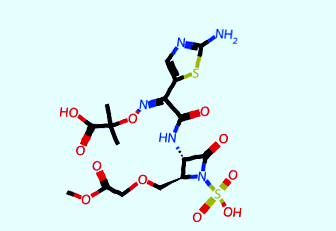 COC(=O)COC[C@H]1[C@H](NC(=O)/C(=N\OC(C)(C)C(=O)O)c2cnc(N)s2)C(=O)N1S(=O)(=O)O